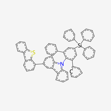 c1ccc(-c2cc([Si](c3ccccc3)(c3ccccc3)c3ccccc3)cc(-c3ccccc3)c2-n2c3ccccc3c3cc(-c4cccc5c4sc4ccccc45)ccc32)cc1